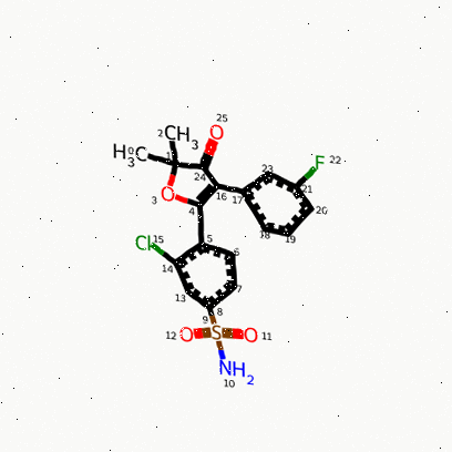 CC1(C)OC(c2ccc(S(N)(=O)=O)cc2Cl)=C(c2cccc(F)c2)C1=O